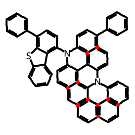 c1ccc(-c2ccc(N(c3ccccc3-c3ccccc3N(c3ccccc3-c3ccccc3)c3ccccc3-c3ccccc3)c3ccc(-c4ccccc4)c4sc5ccccc5c34)cc2)cc1